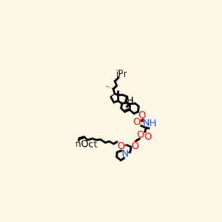 CCCCCCCC/C=C\CCCCCCCCOCC(CN1CCCCC1)OCCOC(=O)C(C)(C)NC(=O)O[C@H]1CCC2(C)C(=CCC3C4CC[C@@H]([C@H](C)CCCC(C)C)C4(C)CC[C@H]32)C1